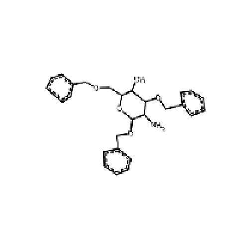 NC1C(OCc2ccccc2)OC(COCc2ccccc2)C(O)C1OCc1ccccc1